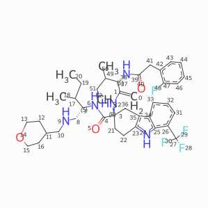 C=C(N[C@]1(C(=O)N[C@H](CNCC2CCOCC2)C(C)CC)CCc2[nH]c3c(C(F)(F)F)cccc3c2C1)[C@@H](NC(=O)Cc1ccccc1F)C(C)CC